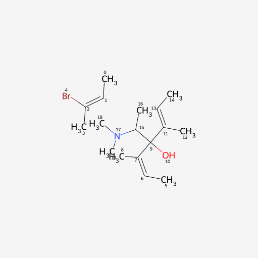 CC=C(C)Br.CC=C(C)C(O)(C(C)=CC)C(C)N(C)C